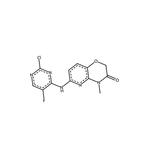 CN1C(=O)COc2ccc(Nc3nc(Cl)ncc3F)nc21